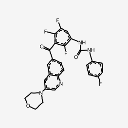 O=C(Nc1ccc(F)cc1)Nc1cc(F)c(F)c(C(=O)c2ccc3ncc(N4CCOCC4)cc3c2)c1F